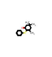 CC1=C(Sc2ccccc2)C(=O)CC(C)(C)C1